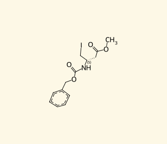 COC(=O)C[C@@H](CI)NC(=O)OCc1ccccc1